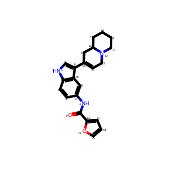 O=C(Nc1ccc2[nH]cc(C3=CCN4CCCCC4C3)c2c1)c1ccco1